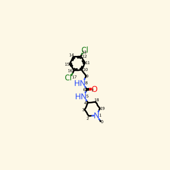 CN1CCC(NC(=O)NCc2cc(Cl)ccc2Cl)CC1